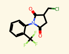 O=C1CC(CCl)C(=O)N1c1ccccc1C(F)(F)F